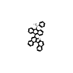 [O-][S+](c1ccccc1)c1c2ccccc2c(-c2cc3ccccc3c3c2oc2ccc4ccccc4c23)c2ccccc12